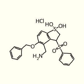 Cl.NCc1c(OCc2ccccc2)ccc2c1C(S(=O)(=O)c1ccccc1)CS2(O)O